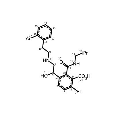 CCc1ccc(C(O)CNCCc2ccccc2C(C)=O)c(C(=O)NCC(C)C)c1C(=O)O